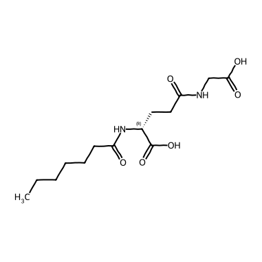 CCCCCCC(=O)N[C@H](CCC(=O)NCC(=O)O)C(=O)O